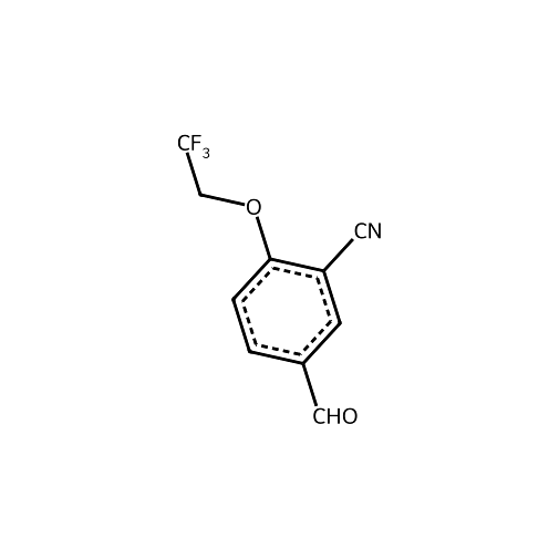 N#Cc1cc(C=O)ccc1OCC(F)(F)F